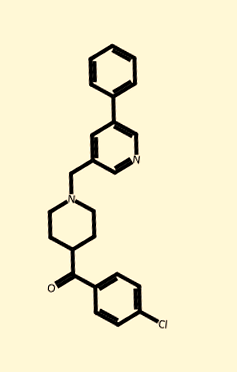 O=C(c1ccc(Cl)cc1)C1CCN(Cc2cncc(-c3ccccc3)c2)CC1